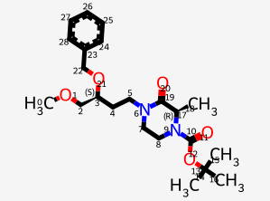 COC[C@H](CCN1CCN(C(=O)OC(C)(C)C)[C@H](C)C1=O)OCc1ccccc1